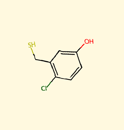 Oc1ccc(Cl)c(CS)c1